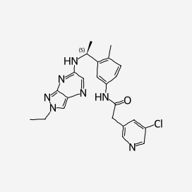 CCn1cc2ncc(N[C@@H](C)c3cc(NC(=O)Cc4cncc(Cl)c4)ccc3C)nc2n1